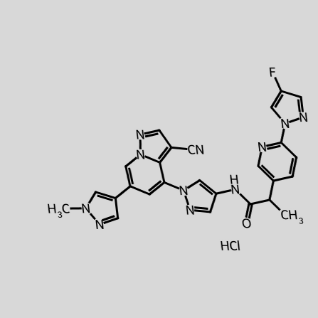 CC(C(=O)Nc1cnn(-c2cc(-c3cnn(C)c3)cn3ncc(C#N)c23)c1)c1ccc(-n2cc(F)cn2)nc1.Cl